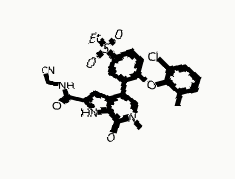 CCS(=O)(=O)c1ccc(Oc2c(C)cccc2Cl)c(-c2cn(C)c(=O)c3[nH]c(C(=O)NCC#N)cc23)c1